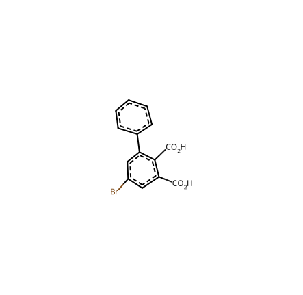 O=C(O)c1cc(Br)cc(-c2ccccc2)c1C(=O)O